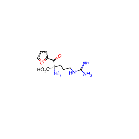 N=C(N)NCCC[C@](N)(C(=O)O)C(=O)c1ccco1